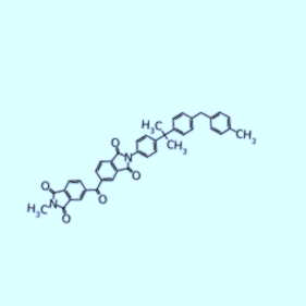 Cc1ccc(Cc2ccc(C(C)(C)c3ccc(N4C(=O)c5ccc(C(=O)c6ccc7c(c6)C(=O)N(C)C7=O)cc5C4=O)cc3)cc2)cc1